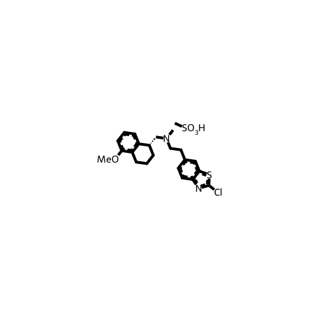 COc1cccc2c1CCC[C@H]2CN(C)CCc1ccc2nc(Cl)sc2c1.CS(=O)(=O)O